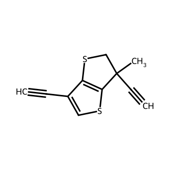 C#Cc1csc2c1SCC2(C)C#C